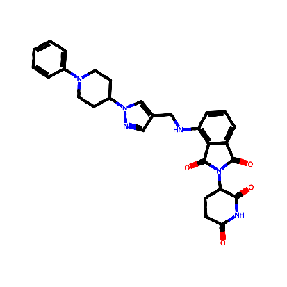 O=C1CCC(N2C(=O)c3cccc(NCc4cnn(C5CCN(c6ccccc6)CC5)c4)c3C2=O)C(=O)N1